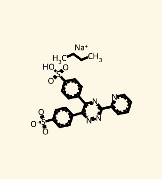 CCCC.O=S(=O)([O-])c1ccc(-c2nnc(-c3ccccn3)nc2-c2ccc(S(=O)(=O)O)cc2)cc1.[Na+]